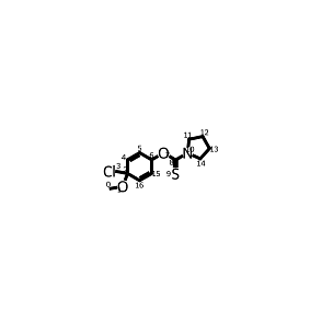 COC1(Cl)C=CC(OC(=S)N2CCCC2)C=C1